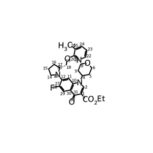 CCOC(=O)c1cn(C2CCOCC2)c2cc(N3CCC[C@@H]3COc3ncccc3C)c(F)cc2c1=O